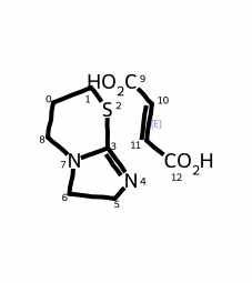 C1CSC2=NCCN2C1.O=C(O)/C=C/C(=O)O